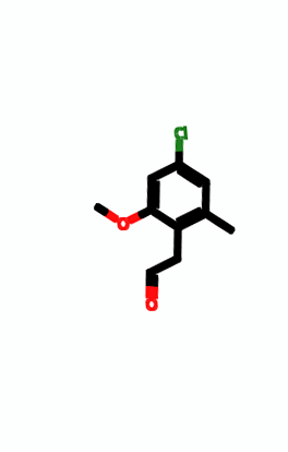 COc1cc(Cl)cc(C)c1CC=O